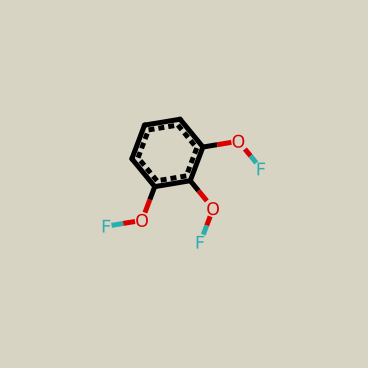 FOc1cccc(OF)c1OF